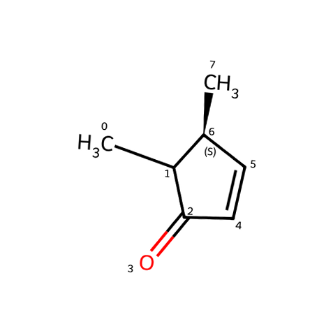 CC1C(=O)C=C[C@@H]1C